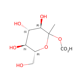 CC1(OC(=O)O)O[C@H](CO)[C@@H](O)[C@H](O)[C@H]1O